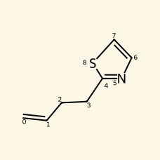 C=CCCc1nccs1